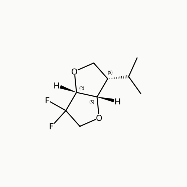 CC(C)[C@H]1CO[C@@H]2[C@H]1OCC2(F)F